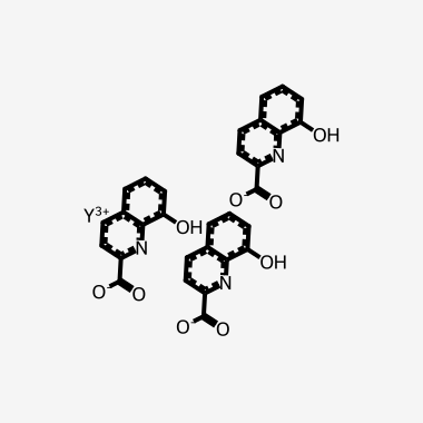 O=C([O-])c1ccc2cccc(O)c2n1.O=C([O-])c1ccc2cccc(O)c2n1.O=C([O-])c1ccc2cccc(O)c2n1.[Y+3]